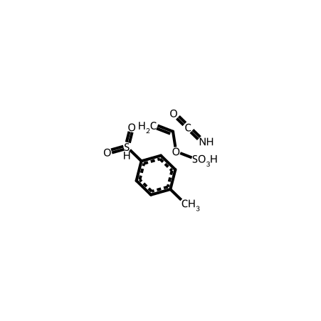 C=COS(=O)(=O)O.Cc1ccc([SH](=O)=O)cc1.N=C=O